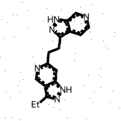 CCc1n[nH]c2cc(CCc3n[nH]c4cnccc34)ncc12